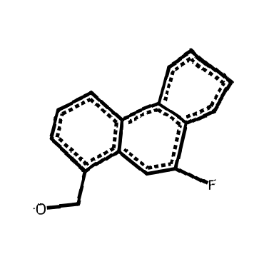 [O]Cc1cccc2c1cc(F)c1ccccc12